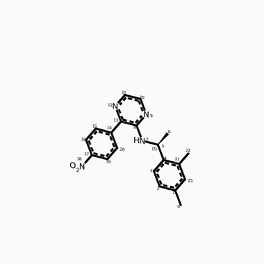 Cc1ccc([C@H](C)Nc2nccnc2-c2ccc([N+](=O)[O-])cc2)c(C)c1